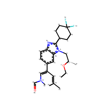 CCO[C@@H](C)Cn1c(C2CCC(F)(F)CC2)nc2ccc(/C(C=C(C)C)=C/N(C)C=O)cc21